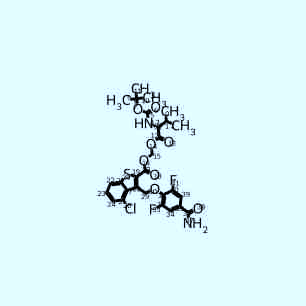 CC(C)[C@H](NC(=O)OC(C)(C)C)C(=O)OCOC(=O)c1sc2cccc(Cl)c2c1COc1c(F)cc(C(N)=O)cc1F